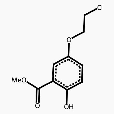 COC(=O)c1cc(OCCCl)ccc1O